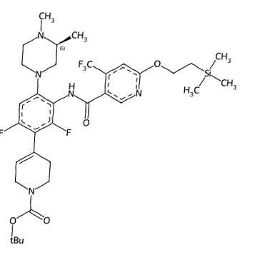 C[C@H]1CN(c2cc(F)c(C3=CCN(C(=O)OC(C)(C)C)CC3)c(F)c2NC(=O)c2cnc(OCC[Si](C)(C)C)cc2C(F)(F)F)CCN1C